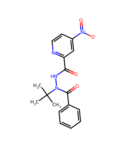 CC(C)(C)N(NC(=O)c1cc([N+](=O)[O-])ccn1)C(=O)c1ccccc1